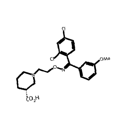 COc1cccc(/C(=N/OCCN2CCC[C@@H](C(=O)O)C2)c2ccc(Cl)cc2Cl)c1